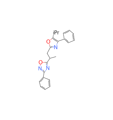 CC(C)c1oc(CC(C)c2nc(-c3ccccc3)no2)nc1-c1ccccc1